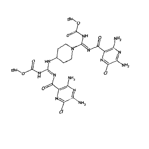 CC(C)(C)OC(=O)N/C(=N\C(=O)c1nc(Cl)c(N)nc1N)NC1CCN(/C(=N/C(=O)c2nc(Cl)c(N)nc2N)NC(=O)OC(C)(C)C)CC1